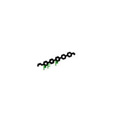 C=CC1CCC(C2CCC(c3ccc(-c4ccc(-c5ccc(C/C=C\C)c(F)c5F)cc4)c(F)c3)CC2)CC1